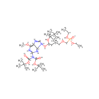 CCOP(=O)(COCCCC(On1cnc2c(OC)nc(N(C(=O)OC(C)(C)C)C(=O)OC(C)(C)C)nc21)O[Si](C)(C)C(C)(C)C)OCC